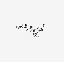 CCCCC(=O)N[C@@H](CCCNC(=N)N)C(=O)NCC(=O)N[C@H](CS)C(=O)NCC(=O)NCCCC(N)=O